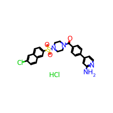 Cl.Nc1cc(-c2ccc(C(=O)N3CCN(S(=O)(=O)c4ccc5cc(Cl)ccc5c4)CC3)cc2)ccn1